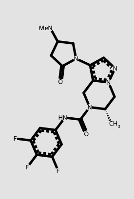 CNC1CC(=O)N(c2cnn3c2CN(C(=O)Nc2cc(F)c(F)c(F)c2)[C@@H](C)C3)C1